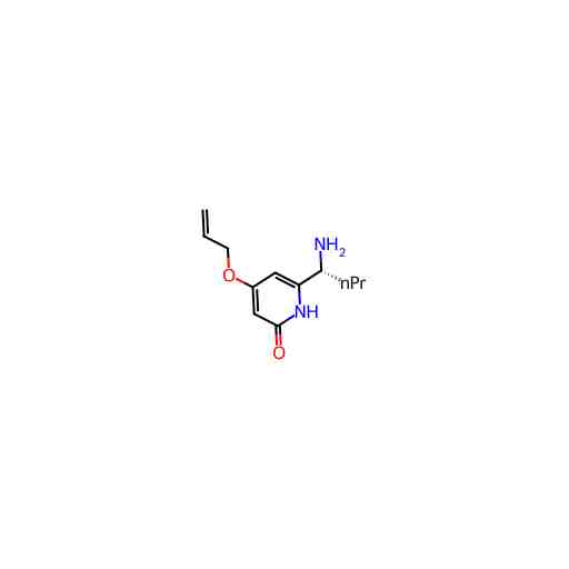 C=CCOc1cc([C@H](N)CCC)[nH]c(=O)c1